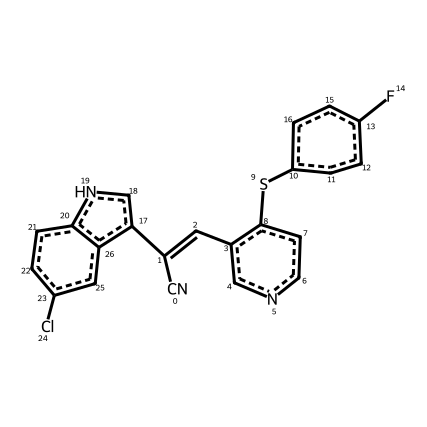 N#C/C(=C\c1cnccc1Sc1ccc(F)cc1)c1c[nH]c2ccc(Cl)cc12